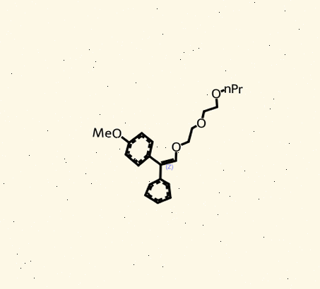 CCCOCCOCCO/C=C(/c1ccccc1)c1ccc(OC)cc1